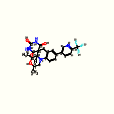 C[C@@H]1CN2c3ccc(-c4ccc(C(F)(F)F)nc4)cc3CC3(C(=O)NC(=O)NC3=O)[C@H]2[C@H](C)O1